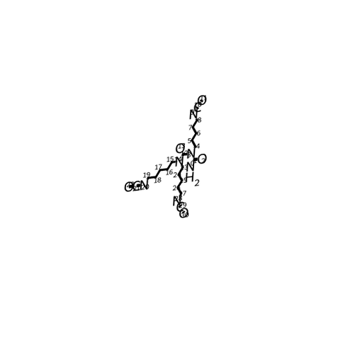 NC(=O)N(CCCCCN=C=O)C(=O)N(CCCCCN=C=O)CCCCCN=C=O